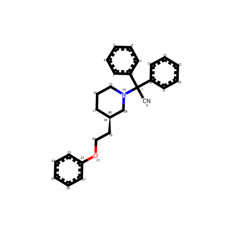 N#CC(c1ccccc1)(c1ccccc1)N1CCC[C@H](CCOc2ccccc2)C1